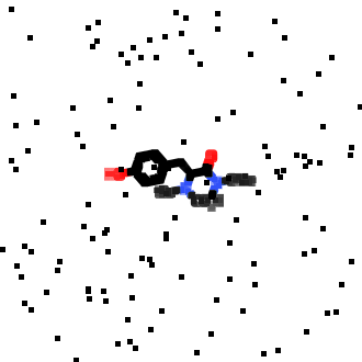 CON(C)C(=O)[C@H](Cc1ccc(O)cc1)N(C(=O)O)C(C)(C)C